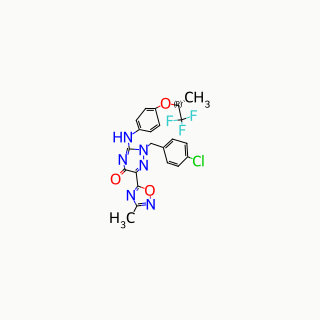 Cc1noc(-c2nn(Cc3ccc(Cl)cc3)c(Nc3ccc(O[C@H](C)C(F)(F)F)cc3)nc2=O)n1